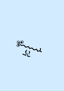 CC(C)CCCCCCCCCS(=O)(=O)[O-].CC[N+](CC)(CC)CC